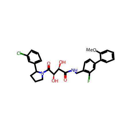 COc1ccccc1-c1ccc(CNC(=O)[C@H](O)[C@@H](O)C(=O)N2CCCC2c2cccc(Cl)c2)c(F)c1